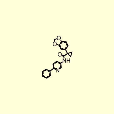 O=C(Nc1ccc(-c2ccccc2)nc1)C1(c2ccc3c(c2)OCO3)CC1